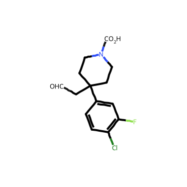 O=CCC1(c2ccc(Cl)c(F)c2)CCN(C(=O)O)CC1